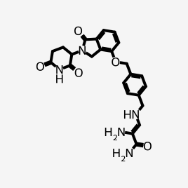 NC(=O)/C(N)=C/NCc1ccc(COc2cccc3c2CN(C2CCC(=O)NC2=O)C3=O)cc1